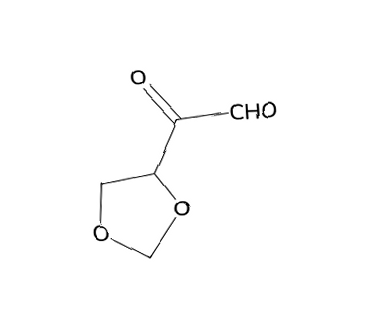 O=CC(=O)C1COCO1